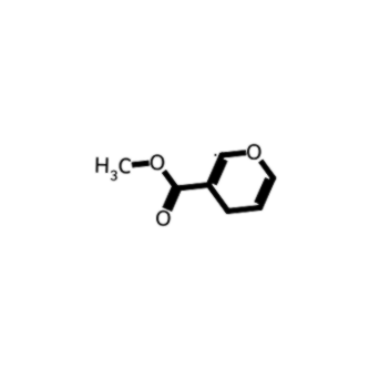 COC(=O)C1=[C]OC=CC1